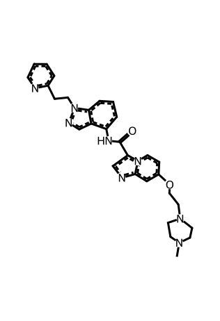 CN1CCN(CCOc2ccn3c(C(=O)Nc4cccc5c4cnn5CCc4ccccn4)cnc3c2)CC1